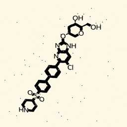 O=S(=O)(c1ccc(-c2ccc(-c3nc4nc(O[C@H]5CO[C@H](CO)[C@@H](O)C5)[nH]c4cc3Cl)cc2)cc1)C1CCNCC1